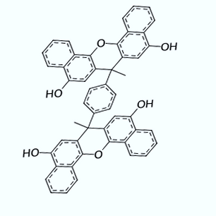 CC1(c2ccc(C3(C)c4cc(O)c5ccccc5c4Oc4c3cc(O)c3ccccc43)cc2)c2cc(O)c3ccccc3c2Oc2c1cc(O)c1ccccc21